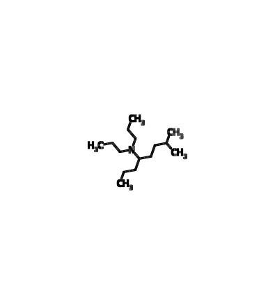 CCCC(CCC(C)C)N(CCC)CCC